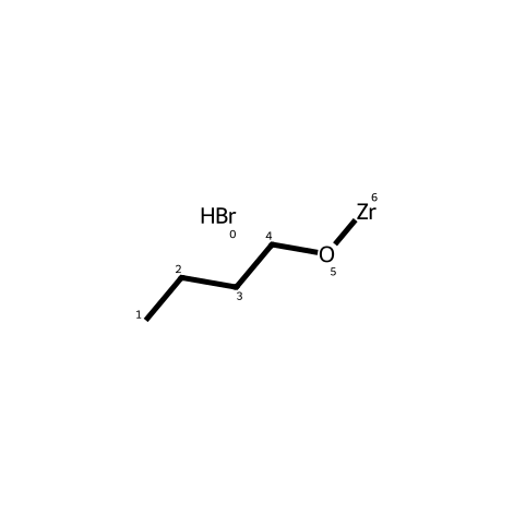 Br.CCCC[O][Zr]